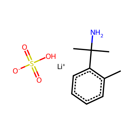 Cc1ccccc1C(C)(C)N.O=S(=O)([O-])O.[Li+]